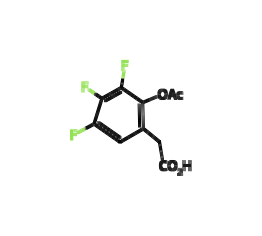 CC(=O)Oc1c(CC(=O)O)cc(F)c(F)c1F